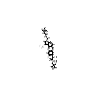 CC1(CNC(=O)Nc2cc(F)c(Oc3ccnc4c3c(C(F)(F)F)cn4COCC[Si](C)(C)C)cc2F)COC1